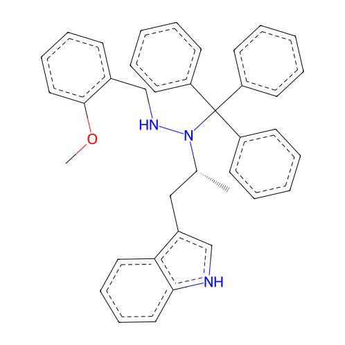 COc1ccccc1CNN([C@H](C)Cc1c[nH]c2ccccc12)C(c1ccccc1)(c1ccccc1)c1ccccc1